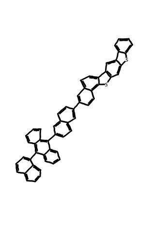 c1ccc2c(-c3c4ccccc4c(-c4ccc5cc(-c6ccc7c(ccc8c9cc%10c(cc9sc78)sc7ccccc7%10)c6)ccc5c4)c4ccccc34)cccc2c1